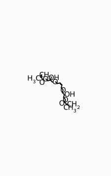 C=C(C)C(=O)OCC(O)COC/C=C\COCC(O)COC(=O)C(=C)C